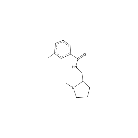 Cc1cccc(C(=O)NCC2CCCN2C)c1